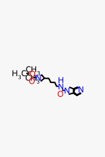 CC(C)(C)OC(=O)N1CC(CCCCNC(=O)N2Cc3ccncc3C2)C1